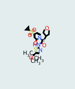 COC(C)(C)c1cnc(NC(=O)[C@H](CC2CCOCC2)n2ccc(S(=O)(=O)C3CC3)cc2=O)s1